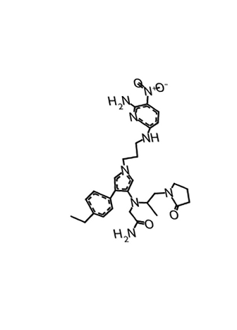 CCc1ccc(-c2cn(CCCNc3ccc([N+](=O)[O-])c(N)n3)cc2N(CC(N)=O)C(C)CN2CCCC2=O)cc1